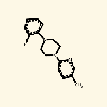 Cc1ccc(N2CCN(c3ccccc3F)CC2)nc1